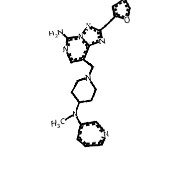 CN(c1cccnc1)C1CCN(Cc2cnc(N)n3nc(-c4ccco4)nc23)CC1